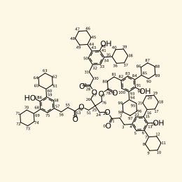 O=C(CCc1cc(C2CCCCC2)c(O)c(C2CCCCC2)c1)OCC(COC(=O)CCc1cc(C2CCCCC2)c(O)c(C2CCCCC2)c1)(COC(=O)CCc1cc(C2CCCCC2)c(O)c(C2CCCCC2)c1)COC(=O)CCc1cc(C2CCCCC2)c(O)c(C2CCCCC2)c1